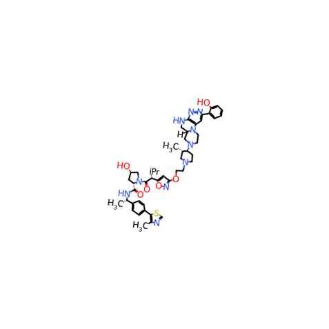 Cc1ncsc1-c1ccc([C@H](C)NC(=O)[C@@H]2C[C@@H](O)CN2C(=O)[C@@H](c2cc(OCCN3CC[C@H](N4CCN5c6cc(-c7ccccc7O)nnc6NC[C@H]5C4)[C@@H](C)C3)no2)C(C)C)cc1